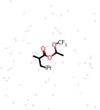 CC(C)CC(C)C(=O)OC(C)OC(F)(F)F